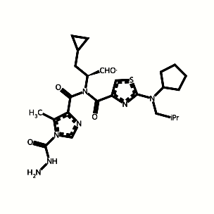 Cc1c(C(=O)N(C(=O)c2csc(N(CC(C)C)C3CCCC3)n2)[C@H]([C]=O)CC2CC2)ncn1C(=O)NN